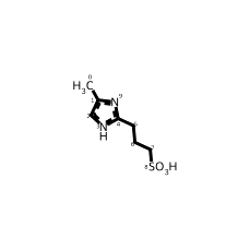 Cc1c[nH]c(CCCS(=O)(=O)O)n1